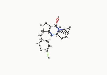 O=C(O)C12C=Cc3nc4c(c(=O)n3C1C2)CC/C4=C/c1ccc(F)cc1